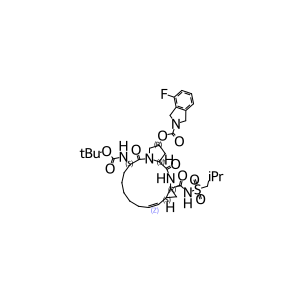 CC(C)CS(=O)(=O)NC(=O)[C@@]12C[C@H]1/C=C\CCCCC[C@H](NC(=O)OC(C)(C)C)C(=O)N1C[C@H](OC(=O)N3Cc4cccc(F)c4C3)C[C@H]1C(=O)N2